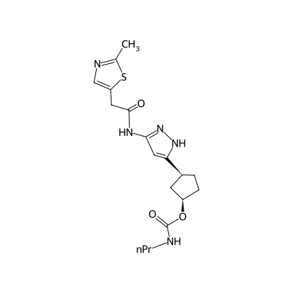 CCCNC(=O)O[C@@H]1CC[C@H](c2cc(NC(=O)Cc3cnc(C)s3)n[nH]2)C1